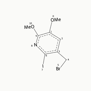 COc1cc(CBr)c(I)nc1OC